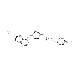 COc1cc2nccc(Oc3ccc(NC(=O)COc4ccc(C)cc4)cc3)c2cc1OC